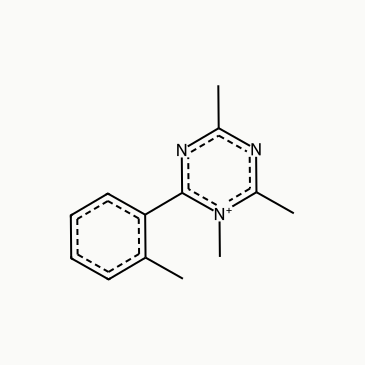 Cc1nc(C)[n+](C)c(-c2ccccc2C)n1